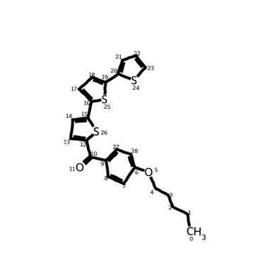 CCCCCOc1ccc(C(=O)c2ccc(-c3ccc(-c4cccs4)s3)s2)cc1